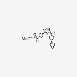 COCCC(=O)Nc1ccc(-c2nc(Nc3ccc(N4CCOCC4)cc3)ncc2C)cc1